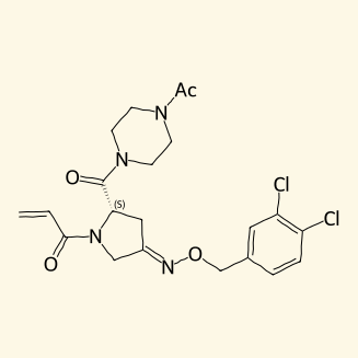 C=CC(=O)N1CC(=NOCc2ccc(Cl)c(Cl)c2)C[C@H]1C(=O)N1CCN(C(C)=O)CC1